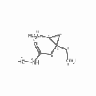 O=C(O)CC1(CC(=O)NO)CC1C(=O)O